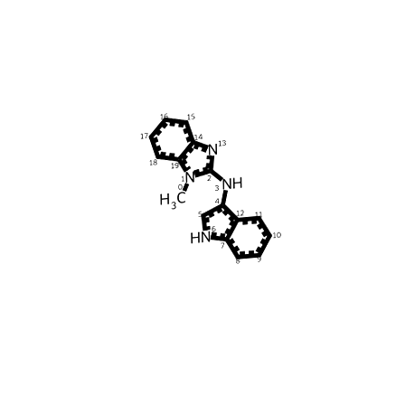 Cn1c(Nc2c[nH]c3ccccc23)nc2ccccc21